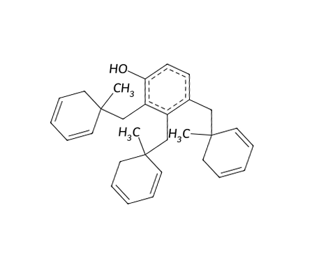 CC1(Cc2ccc(O)c(CC3(C)C=CC=CC3)c2CC2(C)C=CC=CC2)C=CC=CC1